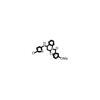 COc1cccc(C(=O)N2c3ccccc3C(Nc3ccc(Cl)cn3)CC2C)c1